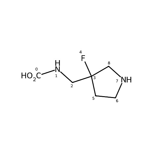 O=C(O)NCC1(F)CCNC1